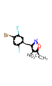 Cc1onc(-c2cc(F)c(Br)cc2F)c1C(=O)O